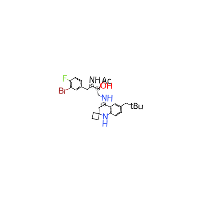 CC(=O)N[C@@H](Cc1ccc(F)c(Br)c1)[C@@H](O)CN[C@H]1CC2(CCC2)Nc2ccc(CC(C)(C)C)cc21